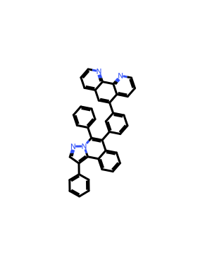 c1ccc(-c2cnn3c(-c4ccccc4)c(-c4cccc(-c5cc6cccnc6c6ncccc56)c4)c4ccccc4c23)cc1